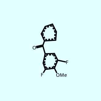 COc1c(F)cc(C(=O)c2ccccc2)cc1F